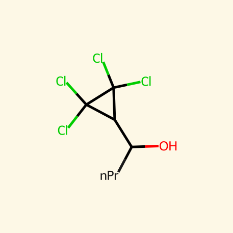 CCCC(O)C1C(Cl)(Cl)C1(Cl)Cl